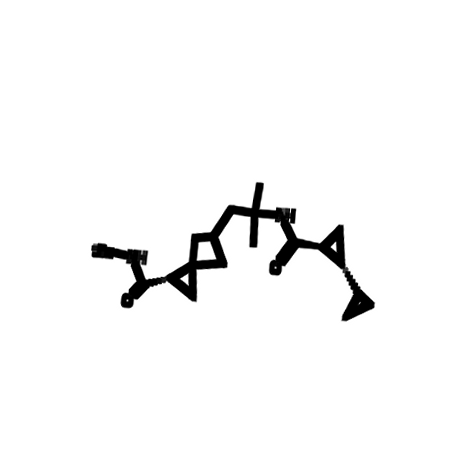 CC(C)(C)NC(=O)[C@H]1CC12CC(CC(C)(C)NC(=O)[C@H]1C[C@@H]1C1CC1)C2